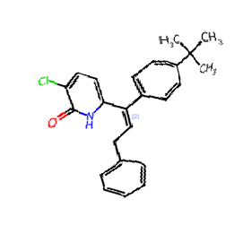 CC(C)(C)c1ccc(/C(=C/Cc2ccccc2)c2ccc(Cl)c(=O)[nH]2)cc1